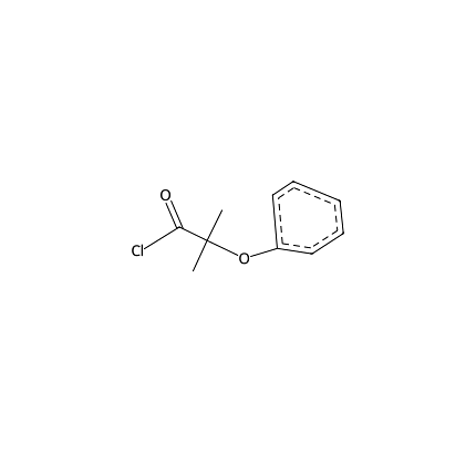 CC(C)(Oc1ccccc1)C(=O)Cl